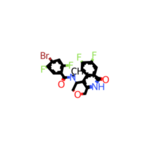 CN(C(=O)c1cc(F)c(Br)cc1F)[C@H]1COCc2[nH]c(=O)c3cc(F)c(F)cc3c21